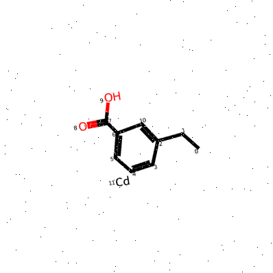 CCc1cccc(C(=O)O)c1.[Cd]